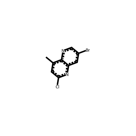 Cc1cc(Cl)nc2cc(Br)cnc12